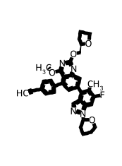 C#Cc1ccc(-c2cc(-c3c(C)c(F)cc4c3cnn4C3CCCCO3)cc3nc(OC[C@H]4CCCO4)nc(OC)c23)cc1